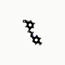 Fc1ccc(/C=N/Sc2cccc(Cl)c2)cc1